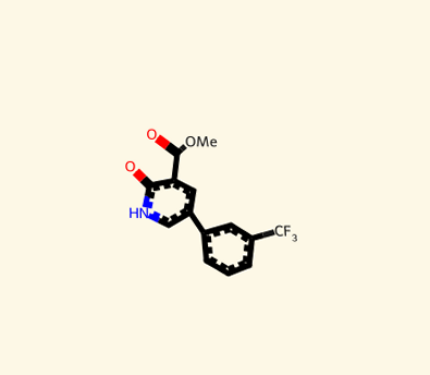 COC(=O)c1cc(-c2cccc(C(F)(F)F)c2)c[nH]c1=O